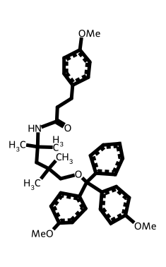 COc1ccc(CCC(=O)NC(C)(C)CC(C)(C)COC(c2ccccc2)(c2ccc(OC)cc2)c2ccc(OC)cc2)cc1